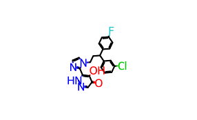 O=c1cn[nH]c(-c2nccn2CCC(c2ccc(F)cc2)c2cccc(Cl)c2)c1O